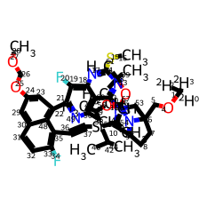 [2H]C([2H])([2H])OCC12CCC(CN(c3nc(SC)nc4c(F)c(-c5cc(OCOC)cc6ccc(F)c(C#C[Si](C(C)C)(C(C)C)C(C)C)c56)nc(C)c34)C1)N2C(=O)OC(C)(C)C